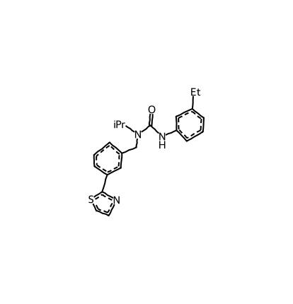 CCc1cccc(NC(=O)N(Cc2cccc(-c3nccs3)c2)C(C)C)c1